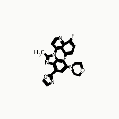 Cc1nc2c(-c3ncco3)cc(N3CCOCC3)cc2n1-c1ccnc2c(F)ccc(F)c12